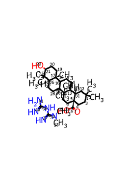 CC1(C)CC[C@]2(C(=O)O)CC[C@]3(C)C(=CCC4[C@@]5(C)CC[C@H](O)C(C)(C)[C@@H]5CC[C@]43C)[C@@H]2C1.CN(C)C(=N)NC(=N)N